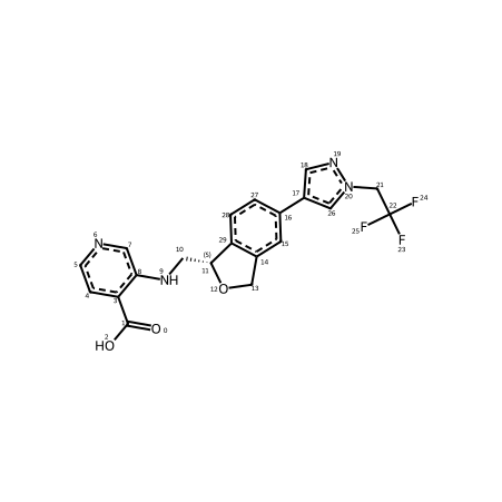 O=C(O)c1ccncc1NC[C@H]1OCc2cc(-c3cnn(CC(F)(F)F)c3)ccc21